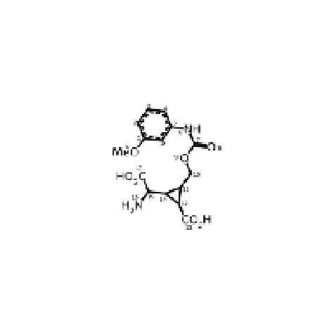 COc1cccc(NC(=O)OCC2C(C(=O)O)C2C(N)C(=O)O)c1